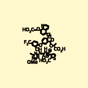 COc1nc(C)nc(NC(=O)NS(=O)(=O)c2ccsc2C(=O)O)n1.C[C@H](OC(=O)c1cc(Oc2ccc(C(F)(F)F)cc2Cl)ccc1Cl)C(=O)O.O=C(O)COc1ccc(Cl)c2cccnc12